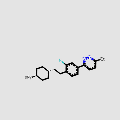 CCC[C@H]1CC[C@H](CCc2ccc(-c3ccc(CC)nn3)cc2F)CC1